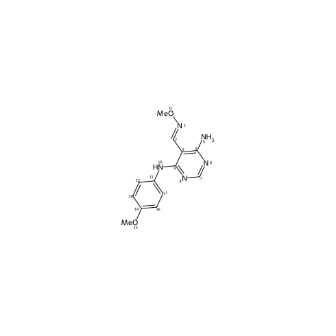 CO/N=C/c1c(N)ncnc1Nc1ccc(OC)cc1